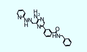 Nc1ncc(-c2cccc(C(=O)NCc3ccccc3)c2)nc1C=NNc1ccccn1